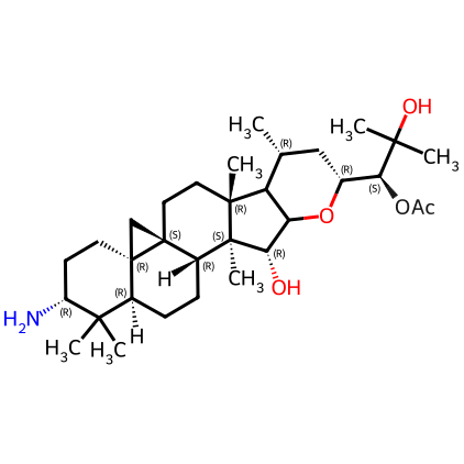 CC(=O)O[C@@H]([C@H]1C[C@@H](C)C2C(O1)[C@H](O)[C@@]1(C)[C@@H]3CC[C@H]4C(C)(C)[C@H](N)CC[C@@]45C[C@@]35CC[C@]21C)C(C)(C)O